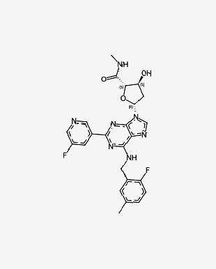 CNC(=O)[C@H]1O[C@@H](n2cnc3c(NCc4cc(C)ccc4F)nc(-c4cncc(F)c4)nc32)C[C@@H]1O